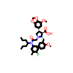 CCCC(CCC)N(C(=O)CN1C[C@H](c2cc(OC)c3c(c2)OCO3)[C@@H](C(=O)O)[C@@H]1Cc1ccccc1OC)c1ccc(F)c(C)c1